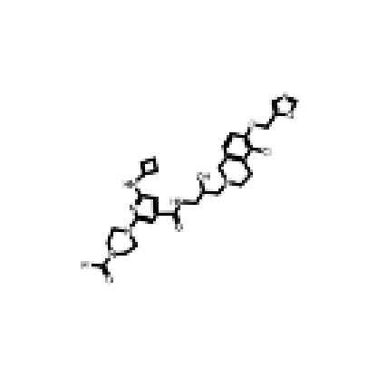 CC(C)C(=O)N1CCN(c2cc(C(=O)NCC(O)CN3CCc4c(ccc(OCc5cnco5)c4Cl)C3)cc(NC3CCC3)n2)CC1